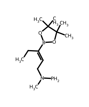 CC/C(=C\CN(C)P)B1OC(C)(C)C(C)(C)O1